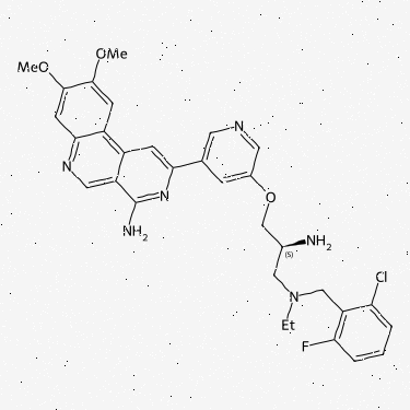 CCN(Cc1c(F)cccc1Cl)C[C@H](N)COc1cncc(-c2cc3c(cnc4cc(OC)c(OC)cc43)c(N)n2)c1